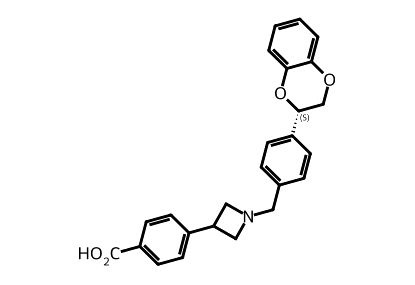 O=C(O)c1ccc(C2CN(Cc3ccc([C@H]4COc5ccccc5O4)cc3)C2)cc1